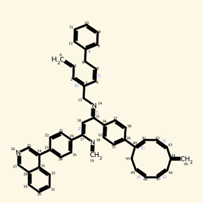 C=C/C=C(\C=C/Cc1ccccc1)C/N=C(\C=C(/N=C)c1ccc(-c2cncc3ccccc23)cc1)c1ccc(/C2=C/C=C\C(=C)/C=C\C=C/C2)cc1